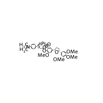 CCCS(=O)(=O)c1cc([C@H]2CC[C@H](c3cc(OC)c(OC)c(OC)c3)O2)cc(OC)c1OCCSc1ccc(N(C)C)cc1